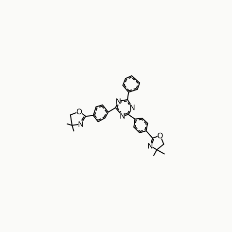 CC1(C)COC(c2ccc(-c3nc(-c4ccccc4)nc(-c4ccc(C5=NC(C)(C)CO5)cc4)n3)cc2)=N1